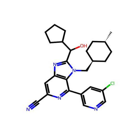 C[C@H]1CC[C@H](Cn2c(C(O)C3CCCC3)nc3cc(C#N)nc(-c4cncc(Cl)c4)c32)CC1